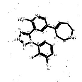 Nc1ncc(C2=CCCNCC2)cc1-c1nnnn1-c1cccc(F)c1F